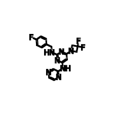 Fc1ccc(CNc2nc(Nc3cnccn3)cc(N3CC(F)(F)C3)n2)cc1